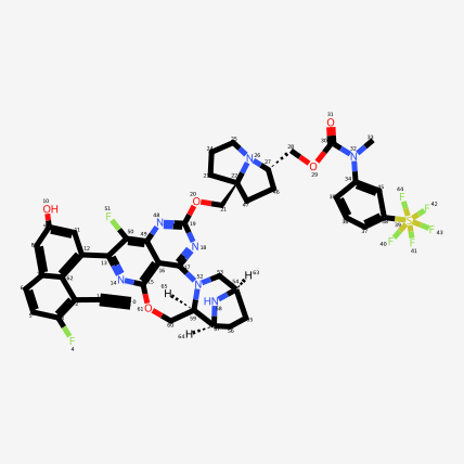 C#Cc1c(F)ccc2cc(O)cc(-c3nc4c5c(nc(OC[C@@]67CCCN6[C@H](COC(=O)N(C)c6cccc(S(F)(F)(F)(F)F)c6)CC7)nc5c3F)N3C[C@H]5CC[C@H](N5)[C@H]3CO4)c12